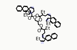 CC/C=C\C1(/C=C\CC(CC)C(=O)OCC(COC(=O)C(CC)C/C=C\C2(/C=C\CC)C=CC3(C=CCC=C3)C=C2)OC(=O)C(CC)C/C=C\C2(/C=C\CC)C=CC3(C=CCC=C3)C=C2)C=CC2(C=CCC=C2)C=C1